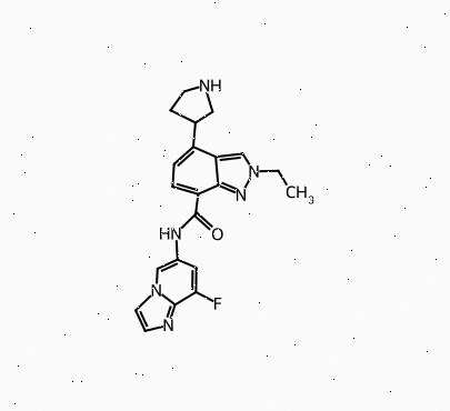 CCn1cc2c(C3CCNC3)ccc(C(=O)Nc3cc(F)c4nccn4c3)c2n1